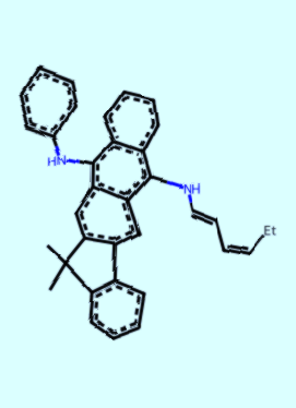 CC/C=C\C=CNc1c2ccccc2c(Nc2ccccc2)c2cc3c(cc12)-c1ccccc1C3(C)C